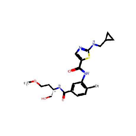 CCc1ccc(C(=O)N[C@H](CO)CCOC(F)(F)F)cc1NC(=O)c1cnc(NCC2CC2)s1